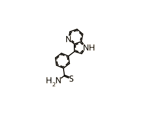 NC(=S)c1cccc(-c2c[nH]c3cccnc23)c1